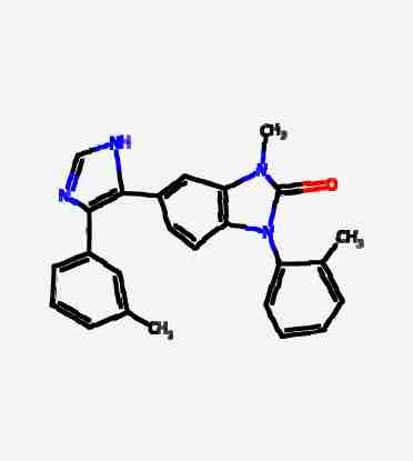 Cc1cccc(-c2nc[nH]c2-c2ccc3c(c2)n(C)c(=O)n3-c2ccccc2C)c1